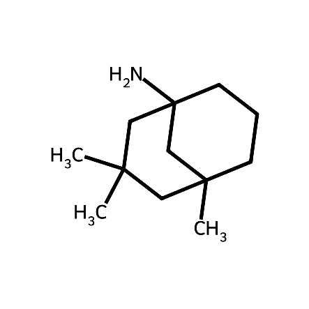 CC1(C)CC2(C)CCCC(N)(C1)C2